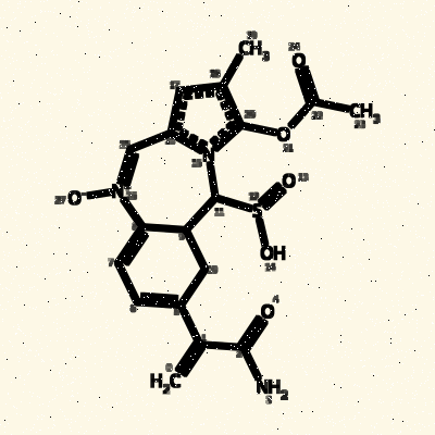 C=C(C(N)=O)C1=CC=C2C(C1)C(S(=O)O)n1c(cc(C)c1OC(C)=O)C=[N+]2[O-]